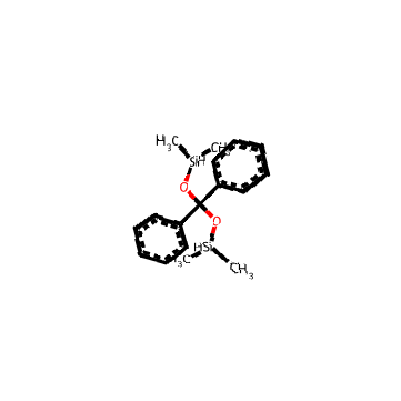 C[SiH](C)OC(O[SiH](C)C)(c1ccccc1)c1ccccc1